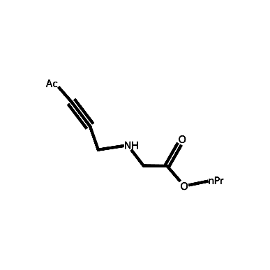 CCCOC(=O)CNCC#CC(C)=O